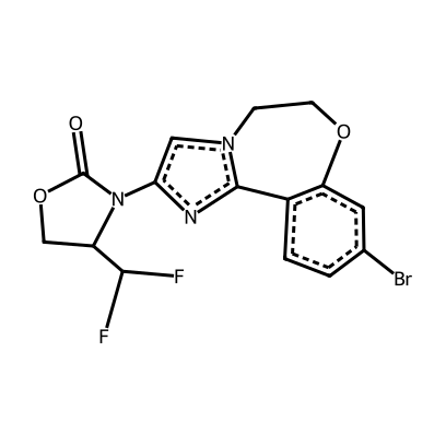 O=C1OCC(C(F)F)N1c1cn2c(n1)-c1ccc(Br)cc1OCC2